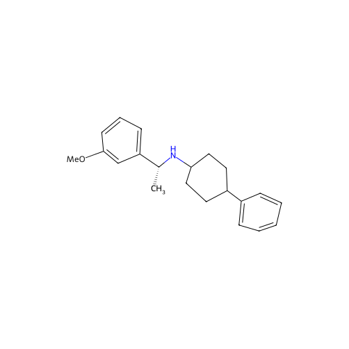 COc1cccc([C@@H](C)NC2CCC(c3ccccc3)CC2)c1